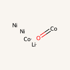 [Co].[Li].[Ni].[Ni].[O]=[Co]